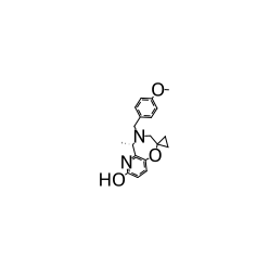 COc1ccc(CN2CC3(CC3)Oc3ccc(O)nc3[C@@H]2C)cc1